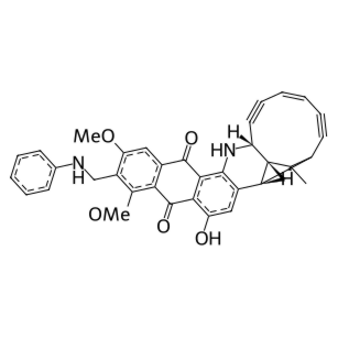 COc1cc2c(c(OC)c1CNc1ccccc1)C(=O)c1c(O)cc3c(c1C2=O)N[C@@H]1C#C/C=C\C#CC2[C@H](C)[C@@]14C[C@]324